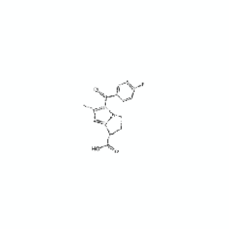 Cc1cc2n(c1C(=O)c1ccc(F)cc1)CCC2C(=O)O